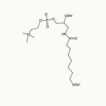 CCCCCCCCCCCCCCCCCC(=O)NCC(COP(=O)([O-])OCC[N+](C)(C)C)OC